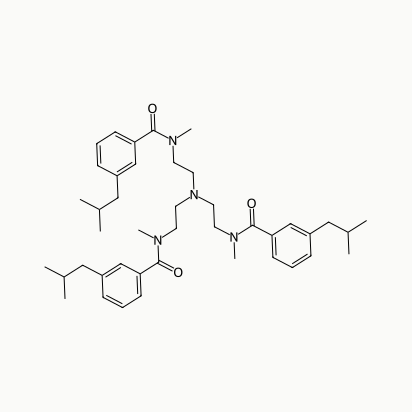 CC(C)Cc1cccc(C(=O)N(C)CCN(CCN(C)C(=O)c2cccc(CC(C)C)c2)CCN(C)C(=O)c2cccc(CC(C)C)c2)c1